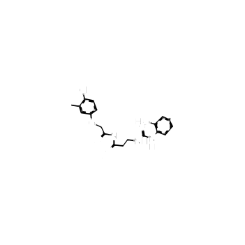 C=C(CCNC(=O)Nc1ccc(Cl)cc1O)NC(=O)COc1ccc(Cl)c(F)c1